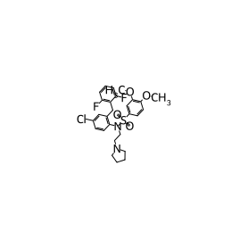 COc1ccc(S(=O)(=O)N(CCN2CCCC2)c2ccc(Cl)cc2Cc2c(F)cccc2F)cc1OC